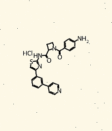 Cl.Nc1ccc(C(=O)N2CCC2C(=O)Nc2nc(-c3cccc(-c4ccncc4)c3)cs2)cc1